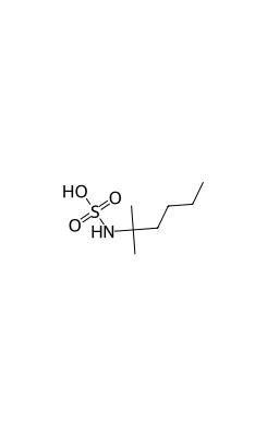 CCCCC(C)(C)NS(=O)(=O)O